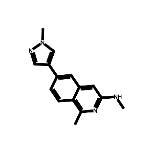 CNc1cc2cc(-c3cnn(C)c3)ccc2c(C)n1